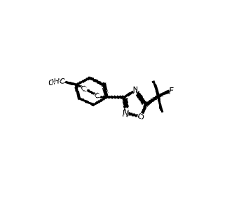 CC(C)(F)c1nc(C23CCC(C=O)(CC2)CC3)no1